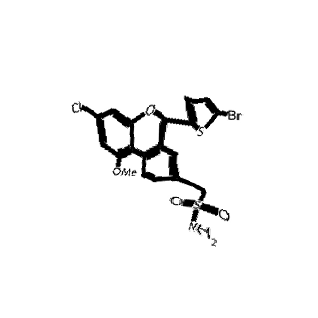 COc1cc(Cl)cc2c1-c1ccc(CS(N)(=O)=O)cc1C(c1ccc(Br)s1)O2